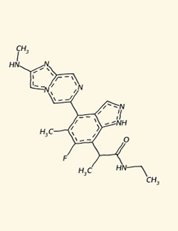 CCNC(=O)C(C)c1c(F)c(C)c(-c2cn3cc(NC)nc3cn2)c2cn[nH]c12